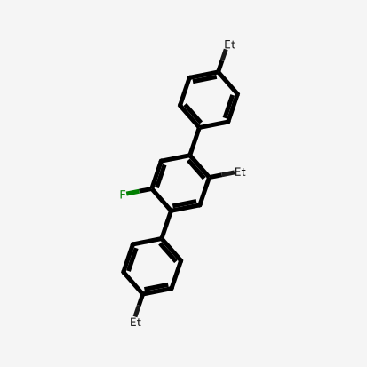 CCc1ccc(-c2cc(CC)c(-c3ccc(CC)cc3)cc2F)cc1